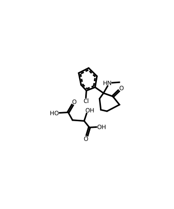 CNC1(c2ccccc2Cl)CCCCC1=O.O=C(O)CC(O)C(=O)O